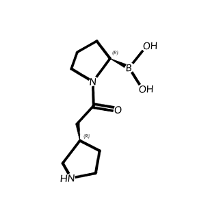 O=C(C[C@H]1CCNC1)N1CCC[C@H]1B(O)O